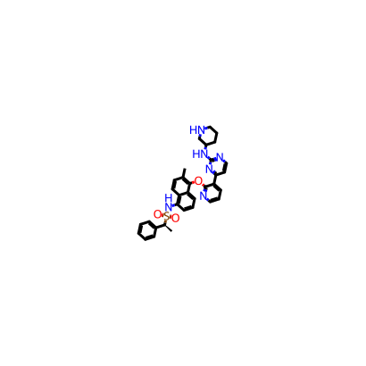 Cc1ccc2c(NS(=O)(=O)[C@@H](C)c3ccccc3)cccc2c1Oc1ncccc1-c1ccnc(NC2CCCNC2)n1